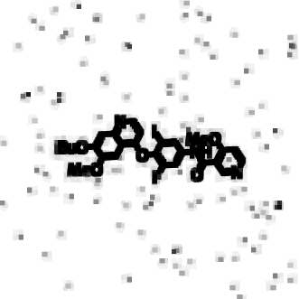 COc1cc2c(Oc3c(F)cc(NC(=O)c4cnccc4OC)cc3I)ccnc2cc1OCC(C)C